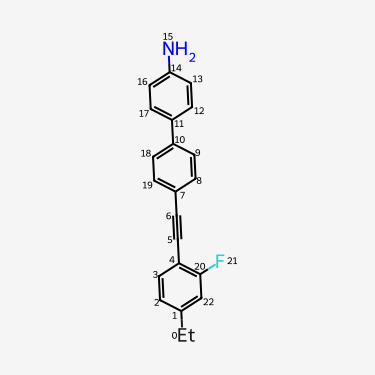 CCc1ccc(C#Cc2ccc(-c3ccc(N)cc3)cc2)c(F)c1